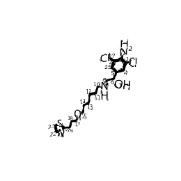 Nc1c(Cl)cc(C(O)CNCCCCCCOCCCc2nccs2)cc1Cl